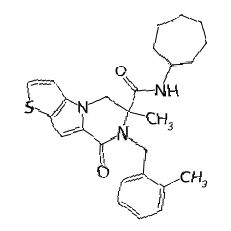 Cc1ccccc1CN1C(=O)c2cc3sccc3n2CC1(C)C(=O)NC1CCCCCC1